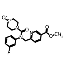 COC(=O)c1ccc(CN(C(=O)N2CC[S+]([O-])CC2)c2cccc(F)c2)nc1